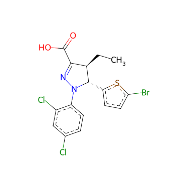 CC[C@@H]1C(C(=O)O)=NN(c2ccc(Cl)cc2Cl)[C@H]1c1ccc(Br)s1